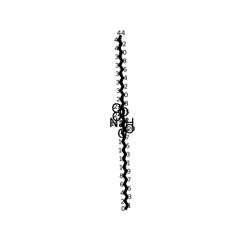 CCCCCCCCCCCCCCCCCCOC(=O)/C=C/C(=O)OC(=O)CCCCCCCCCCCCCCCCC.[NaH]